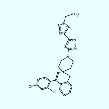 O=C(O)Cn1nnc(-c2nnc(N3CCC4(C=C(c5ccc(Cl)cc5Cl)c5ccccc5O4)CC3)s2)n1